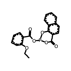 CCOc1ccccc1C(=O)OP1OC(=O)c2ccc3ccccc3c2O1